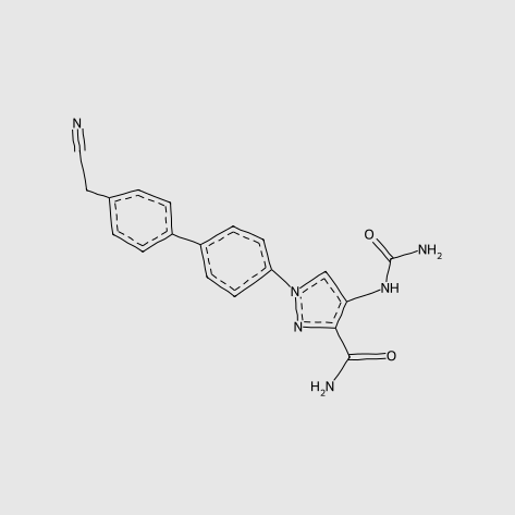 N#CCc1ccc(-c2ccc(-n3cc(NC(N)=O)c(C(N)=O)n3)cc2)cc1